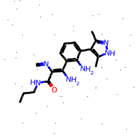 C=N/C(C(=O)NCCC)=C(/N)c1cccc(-c2c(C)n[nH]c2C)c1N